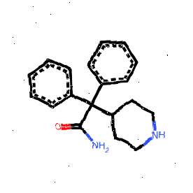 NC(=O)C(c1ccccc1)(c1ccccc1)C1CCNCC1